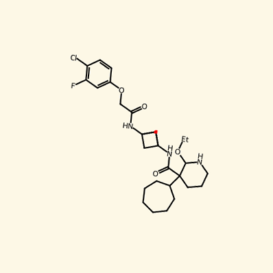 CCOC1NCCCC1(C(=O)NC12CC(NC(=O)COc3ccc(Cl)c(F)c3)(C1)C2)C1CCCCCC1